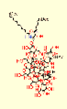 CCCCCCCCCCCCC/C=C/[C@@H](O)[C@H](CO[C@@H]1OC(CO)[C@@H](O[C@@H]2OC(CO)[C@H](O[C@@H]3OC(CO)[C@H](O)[C@H](O[C@@H]4OC(CO)[C@H](O)[C@H](O[C@H]5OC(CO)[C@H](O)[C@H](O)C5O)C4O[C@H]4OC(C)[C@@H](O)C(O)[C@@H]4O)C3NC(C)=O)[C@H](O[C@]3(C(=O)O)CC(O)[C@@H](NC(C)=O)C([C@H](O)[C@@H](CO)O[C@]4(C(=O)O)CC(O)[C@@H](NC(C)=O)C([C@H](O)[C@H](O)CO)O4)O3)C2O)[C@H](O)C1O)NC(=O)CCCCCCCCCCCCCCCCCCC